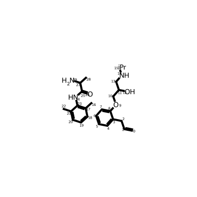 C=CCc1ccccc1OCC(O)CNC(C)C.Cc1cccc(C)c1NC(=O)C(C)N